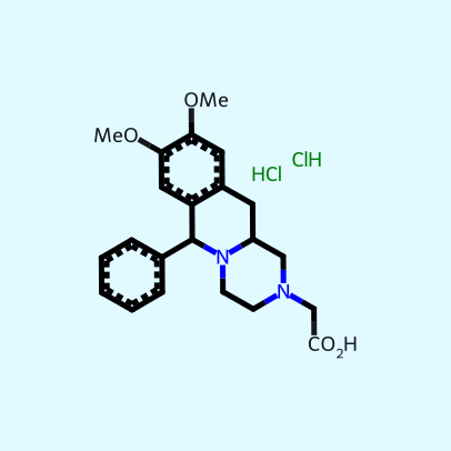 COc1cc2c(cc1OC)C(c1ccccc1)N1CCN(CC(=O)O)CC1C2.Cl.Cl